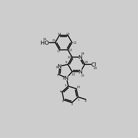 Cc1cccc(-n2cnc3c(-c4cccc(O)c4)nc(Cl)nc32)c1